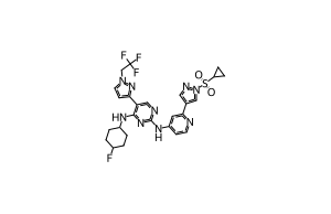 O=S(=O)(C1CC1)n1cc(-c2cc(Nc3ncc(-c4ccn(CC(F)(F)F)n4)c(NC4CCC(F)CC4)n3)ccn2)cn1